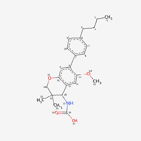 CCCCc1ccc(-c2cc3c(cc2OC)C(NC(=O)O)C(C)(C)CO3)cc1